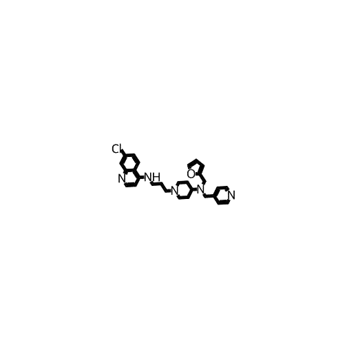 Clc1ccc2c(NCCCN3CCC(N(Cc4ccncc4)Cc4ccco4)CC3)ccnc2c1